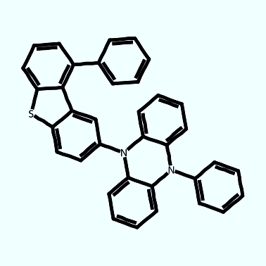 c1ccc(-c2cccc3sc4ccc(N5c6ccccc6N(c6ccccc6)c6ccccc65)cc4c23)cc1